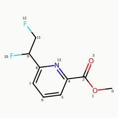 COC(=O)c1cccc(C(F)CF)n1